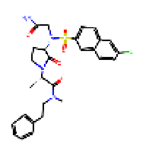 C[C@@H](C(=O)N(C)CCc1ccccc1)N1CC[C@H](N(CC(N)=O)S(=O)(=O)c2ccc3cc(Cl)ccc3c2)C1=O